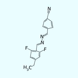 CCc1cc(F)c(/C=N/N=C/c2ccc(C#N)cc2)c(F)c1